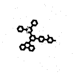 Cc1ccc(-c2ccc(-c3cc(-c4cc(-c5ccccc5)nc(-c5ccccc5)n4)cc(-c4cc5ccccc5c5ccccc45)c3)cc2)c(C)c1